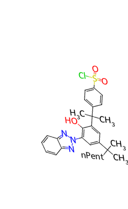 CCCCCC(C)(C)c1cc(-n2nc3ccccc3n2)c(O)c(C(C)(C)c2ccc(S(=O)(=O)Cl)cc2)c1